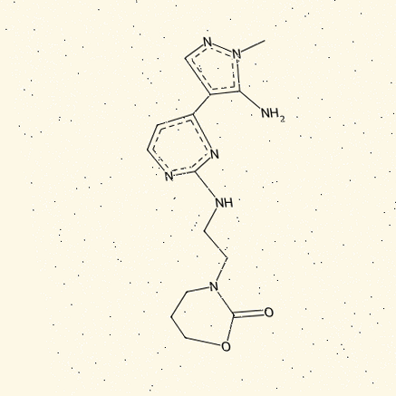 Cn1ncc(-c2ccnc(NCCN3CCCOC3=O)n2)c1N